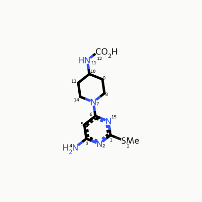 CSc1nc(N)cc(N2CCC(NC(=O)O)CC2)n1